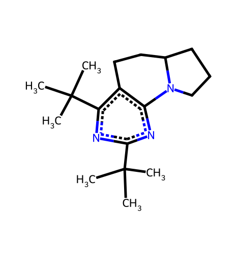 CC(C)(C)c1nc2c(c(C(C)(C)C)n1)CCC1CCCN21